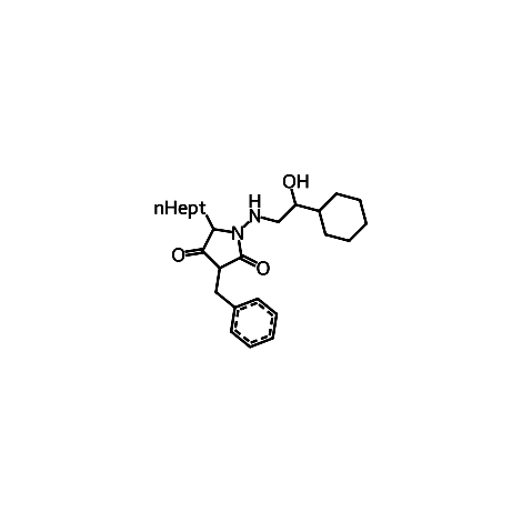 CCCCCCCC1C(=O)C(Cc2ccccc2)C(=O)N1NCC(O)C1CCCCC1